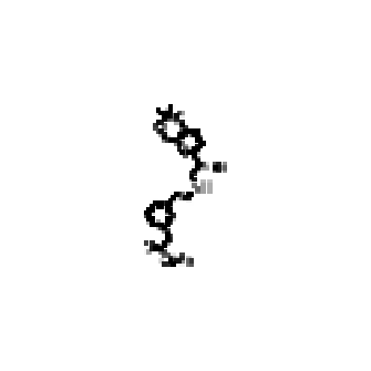 COC(=O)Cc1cccc(C[C@@H](C)NCC(O)c2ccc3c(n2)COC(C)(C)O3)c1